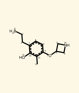 BCCc1ccc(OC2CNC2)c(C)c1O